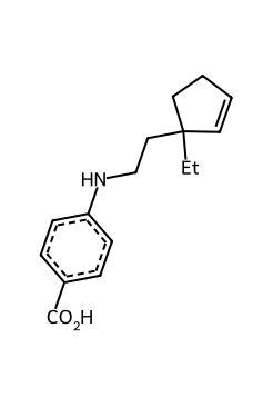 CCC1(CCNc2ccc(C(=O)O)cc2)C=CCC1